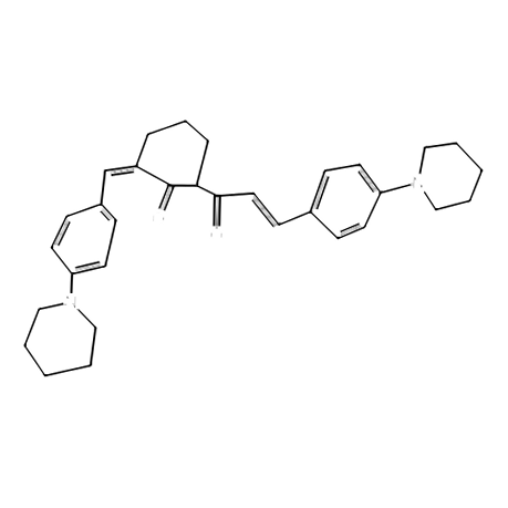 O=C(/C=C/c1ccc(N2CCCCC2)cc1)C1CCC/C(=C/c2ccc(N3CCCCC3)cc2)C1=O